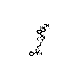 Cc1ccc2c(-c3nnc(SCCCN4C[C@@H]5CC5(c5ccccc5)C4)n3C)cccc2n1